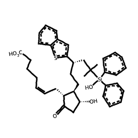 CC(C)(C[C@H](CC[C@H]1[C@H](O)CC(=O)[C@@H]1C/C=C\CCCC(=O)O)c1cc2ccccc2s1)[Si](O)(c1ccccc1)c1ccccc1